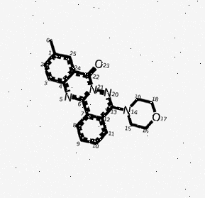 Cc1ccc2nc3c4ccccc4c(N4CCOCC4)nn3c(=O)c2c1